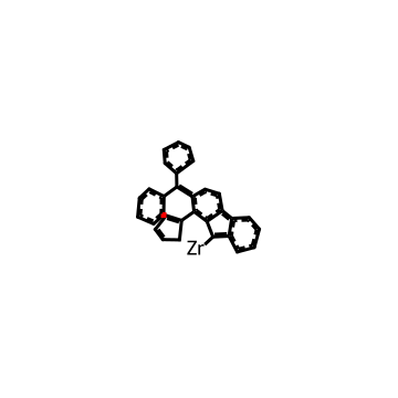 [Zr][C]1=c2ccccc2=c2ccc(=C(c3ccccc3)c3ccccc3)c(C3=CC=CC3)c21